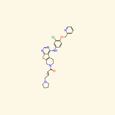 O=C(/C=C/CN1CCCC1)N1CCc2c(sc3ncnc(Nc4ccc(OCc5ccccn5)c(Cl)c4)c23)C1